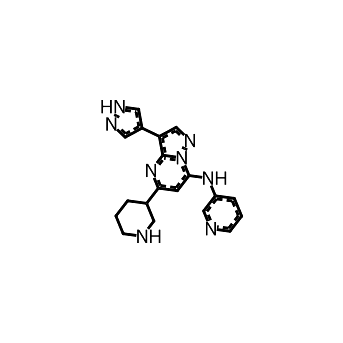 c1cncc(Nc2cc(C3CCCNC3)nc3c(-c4cn[nH]c4)cnn23)c1